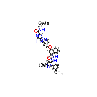 COCCNC(=O)c1cnc(Nc2cc(COc3ccc(NC(=O)Nc4cc(C(C)(C)C)nn4-c4cccc(C)c4)c4ccccc34)ccn2)cn1